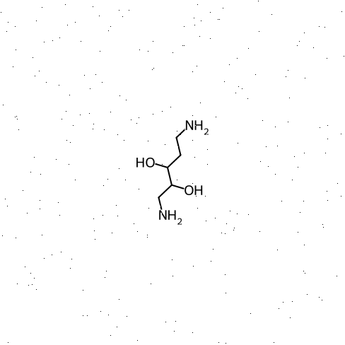 NCCC(O)C(O)CN